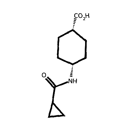 O=C(N[C@H]1CC[C@@H](C(=O)O)CC1)C1CC1